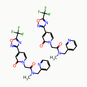 CN(Cc1ccccn1)C(=O)Cn1ccc(-c2noc(C(F)(F)F)n2)cc1=O.CN(Cc1cccnc1)C(=O)Cn1ccc(-c2noc(C(F)(F)F)n2)cc1=O